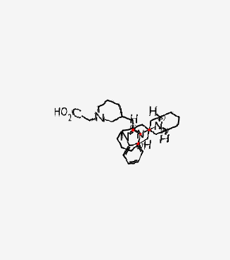 O=C(O)CN1CCCC(Cc2nc3ccccc3n2C2C[C@H]3CCC[C@@H](C2)N3C2C[C@H]3CCCC[C@@H](C2)C3)C1